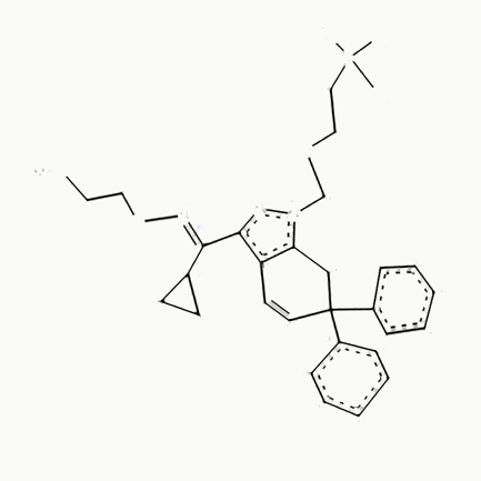 COCCO/N=C(/c1nn(COCC[Si](C)(C)C)c2c1C=CC(c1ccccc1)(c1ccccc1)C2)C1CC1